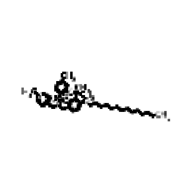 CCCCCCCCCCCCCCOc1ccc(CN(Cc2cc[n+](C)cc2)S(=O)(=O)c2ccc(C)cc2)cc1C(C)(C)C.[I-]